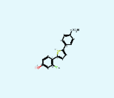 O=C(O)c1ccc(-c2ccc(-c3ccc(O)cc3F)s2)cc1